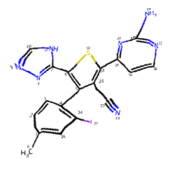 Cc1ccc(-c2c(-c3nnc[nH]3)sc(-c3ccnc(N)n3)c2C#N)c(I)c1